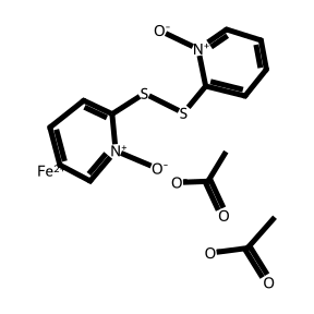 CC(=O)[O-].CC(=O)[O-].[Fe+2].[O-][n+]1ccccc1SSc1cccc[n+]1[O-]